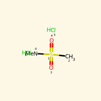 CNS(C)(=O)=O.Cl.Cl